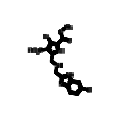 CCOC(=O)c1c(CNCc2nc3ccc(Cl)cc3[nH]2)[nH]c(C(=O)OC(C)(C)C)c1CC